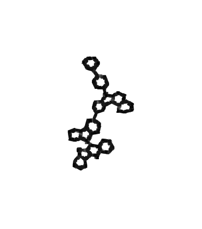 c1ccc(-c2ccc(-n3c4ccc(-c5ccc6c(c5)c5ccccc5n6-c5c6ccccc6nc6c5oc5ccccc56)cc4c4c5ccccc5ccc43)cc2)cc1